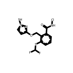 O=C(NCl)c1cccc(SC(F)F)c1COc1ccn(S)n1